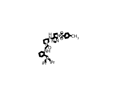 Cc1ccc(S(=O)(=O)n2ccc3c(N[C@H]4CCCN(C(=O)CNc5ccccc5CN(CC(C)C)CC(C)C)C4)ncnc32)cc1